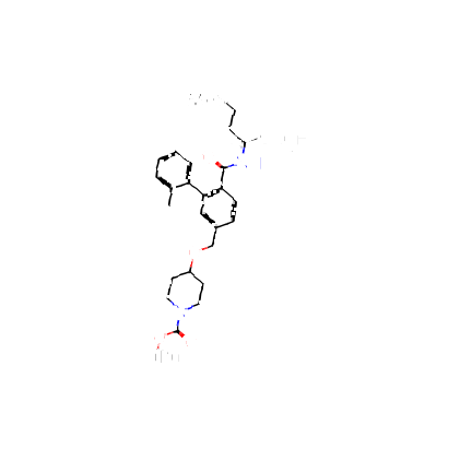 CSCC[C@H](NC(=O)c1ccc(COC2CCN(C(=O)OC(C)(C)C)CC2)cc1-c1ccccc1C)C(=O)O